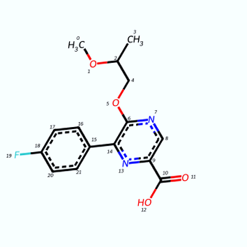 COC(C)COc1ncc(C(=O)O)nc1-c1ccc(F)cc1